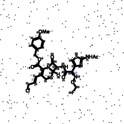 COc1ccc(COC(=O)C2=C(/C=C/CCl)CS[C@H]3[C@H](NC(=O)/C(=N\OCF)c4csc(NC(C)=O)n4)C(=O)N23)cc1